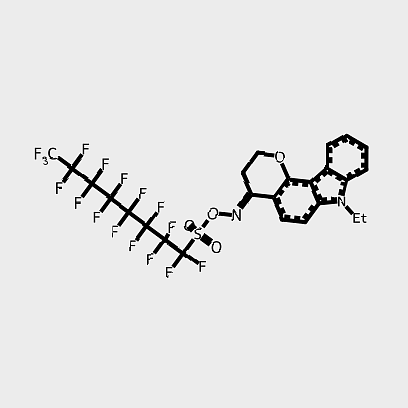 CCn1c2ccccc2c2c3c(ccc21)/C(=N/OS(=O)(=O)C(F)(F)C(F)(F)C(F)(F)C(F)(F)C(F)(F)C(F)(F)C(F)(F)C(F)(F)F)CCO3